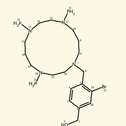 OCc1ccc(CN2CCCN(P)CCN(P)CCCN(P)CC2)c(Br)c1